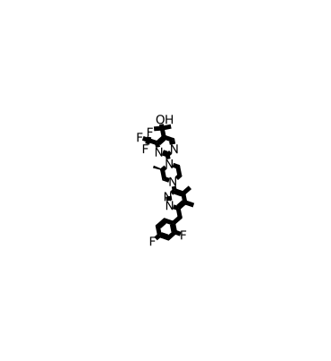 Cc1c(Cc2ccc(F)cc2F)nnc(N2CCN(c3ncc(C(C)(C)O)c(C(F)(F)F)n3)[C@H](C)C2)c1C